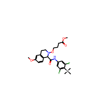 COC(=O)CCCON1CCc2cc(OC)ccc2C1C(=O)Nc1cc(F)c([Si](C)(C)C)c(F)c1